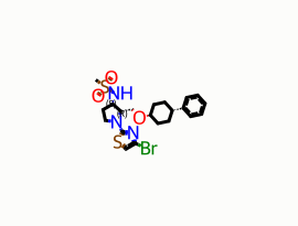 CS(=O)(=O)N[C@H]1CCN(c2nc(Br)cs2)[C@H]1CO[C@H]1CC[C@@H](c2ccccc2)CC1